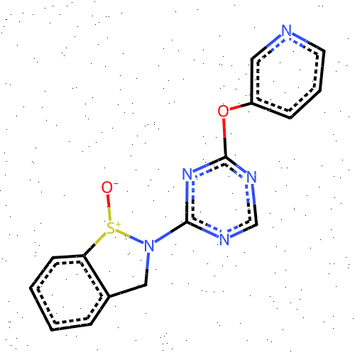 [O-][S+]1c2ccccc2CN1c1ncnc(Oc2cccnc2)n1